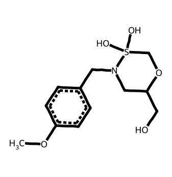 COc1ccc(CN2CC(CO)OCS2(O)O)cc1